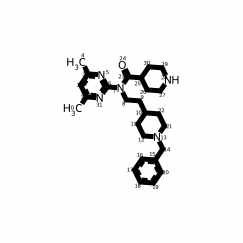 Cc1cc(C)nc(N(CCC2CCN(Cc3ccccc3)CC2)C(=O)C2CCNCC2)n1